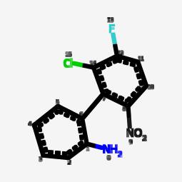 Nc1ccccc1-c1c([N+](=O)[O-])ccc(F)c1Cl